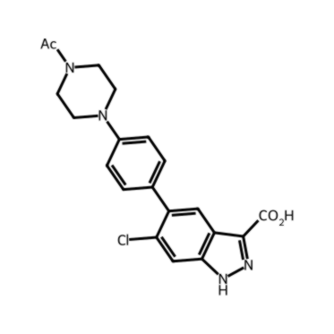 CC(=O)N1CCN(c2ccc(-c3cc4c(C(=O)O)n[nH]c4cc3Cl)cc2)CC1